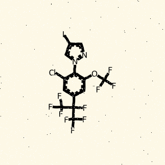 FC(F)(F)Oc1cc(C(F)(C(F)(F)F)C(F)(F)F)cc(Cl)c1-n1cc(I)cn1